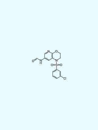 O=CNc1cnc2c(c1)N(S(=O)(=O)c1cccc(Cl)c1)CCO2